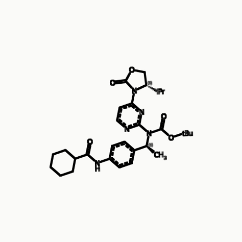 CC(C)[C@H]1COC(=O)N1c1ccnc(N(C(=O)OC(C)(C)C)[C@@H](C)c2ccc(NC(=O)C3CCCCC3)cc2)n1